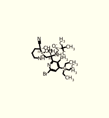 CC[Si](CC)(CC)c1cc(Br)nc([C@](C)(CS2(O)NCCC[C@@]2(C)C#N)N[S+]([O-])C(C)(C)C)c1F